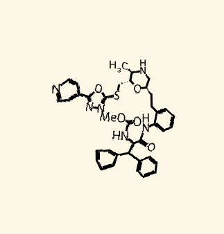 COC(=O)NC(C(=O)Nc1ccccc1CC[C@@H]1CN[C@H](C)[C@@H](CSc2nnc(-c3ccncc3)o2)O1)C(c1ccccc1)c1ccccc1